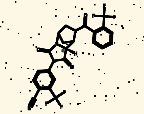 N#Cc1ccc(N2C(=O)[C@H]3C4CC(CN4C(=O)c4ccccc4C(F)(F)F)N3C2=O)cc1C(F)(F)F